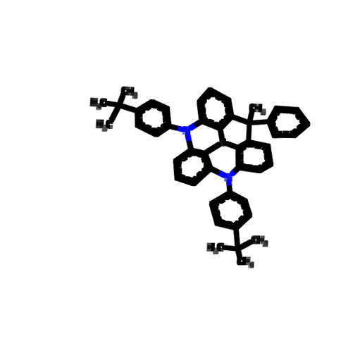 CC(C)(C)c1ccc(N2c3cccc4c3B3c5c2cccc5C(C)(c2ccccc2)c2cccc(c23)N4c2ccc(C(C)(C)C)cc2)cc1